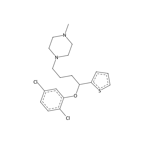 CN1CCN(CCCC(Oc2cc(Cl)ccc2Cl)c2cccs2)CC1